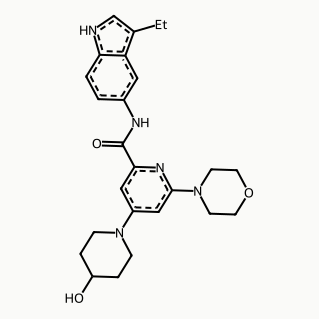 CCc1c[nH]c2ccc(NC(=O)c3cc(N4CCC(O)CC4)cc(N4CCOCC4)n3)cc12